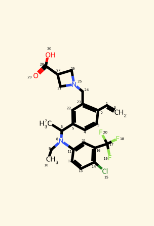 C=Cc1ccc(C(C)N(CC)c2ccc(Cl)c(C(F)(F)F)c2)cc1CN1CC(C(=O)O)C1